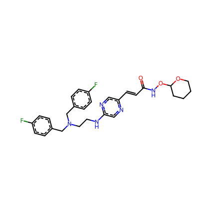 O=C(/C=C/c1cnc(NCCN(Cc2ccc(F)cc2)Cc2ccc(F)cc2)cn1)NOC1CCCCO1